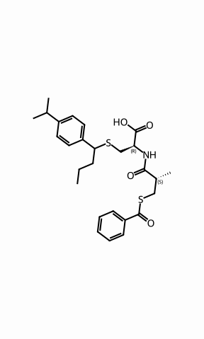 CCCC(SC[C@H](NC(=O)[C@H](C)CSC(=O)c1ccccc1)C(=O)O)c1ccc(C(C)C)cc1